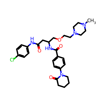 CN1CCN(CCOCC(CC(=O)Nc2ccc(Cl)cc2)NC(=O)c2ccc(N3CCCCC3=O)cc2)CC1